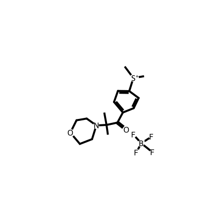 C[S+](C)c1ccc(C(=O)C(C)(C)N2CCOCC2)cc1.F[B-](F)(F)F